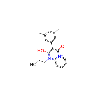 Cc1cc(C)cc(-c2c(O)n(CCC#N)c3cccc[n+]3c2=O)c1